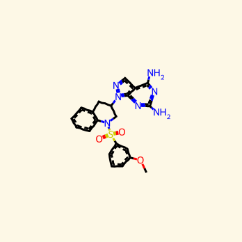 COc1cccc(S(=O)(=O)N2CC(n3ncc4c(N)nc(N)nc43)Cc3ccccc32)c1